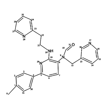 Cc1ccc(-c2ccc(N(C=O)Cc3cccnc3)c(NCCc3ccccn3)n2)cc1